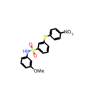 COc1cccc(NS(=O)(=O)c2cccc(Sc3ccc([N+](=O)[O-])cc3)c2)c1